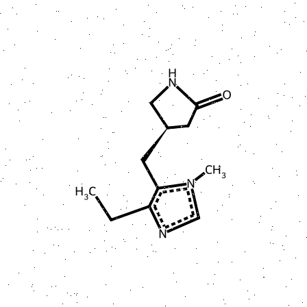 CCc1ncn(C)c1C[C@H]1CNC(=O)C1